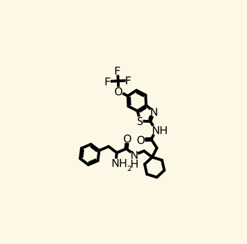 NC(Cc1ccccc1)C(=O)NCC1(CC(=O)Nc2nc3ccc(OC(F)(F)F)cc3s2)CCCCC1